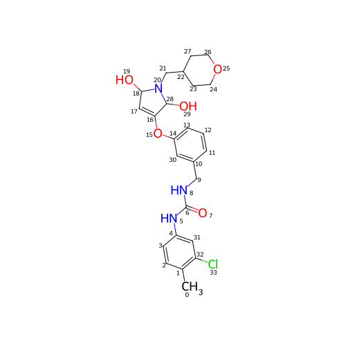 Cc1ccc(NC(=O)NCc2cccc(OC3=CC(O)N(CC4CCOCC4)C3O)c2)cc1Cl